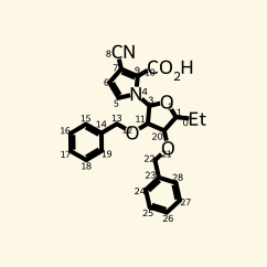 CCC1OC(n2ccc(C#N)c2C(=O)O)C(OCc2ccccc2)C1OCc1ccccc1